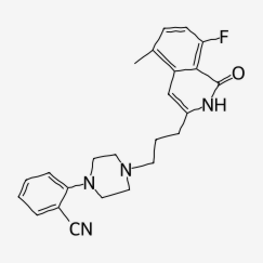 Cc1ccc(F)c2c(=O)[nH]c(CCCN3CCN(c4ccccc4C#N)CC3)cc12